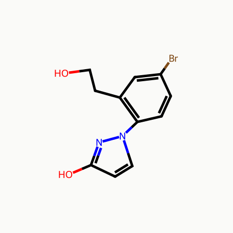 OCCc1cc(Br)ccc1-n1ccc(O)n1